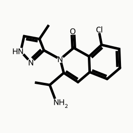 Cc1c[nH]nc1-n1c(C(C)N)cc2cccc(Cl)c2c1=O